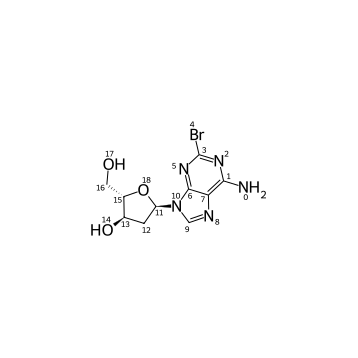 Nc1nc(Br)nc2c1ncn2[C@H]1C[C@@H](O)[C@H](CO)O1